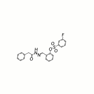 O=C(Cc1ccccc1)NN=Cc1ccccc1OS(=O)(=O)c1cccc(F)c1